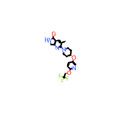 Cc1cc2c(nc1N1CCC(Oc3ccc(OCC(F)(F)F)nc3)CC1)CNC2=O